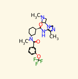 Cc1ncn(C2CN(C)C2)c1NC(=O)[C@@H]1CCC[C@H](N(C)C(=O)c2cccc(OC(F)(F)F)c2)C1